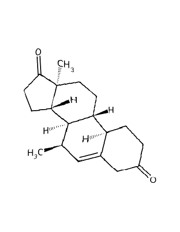 C[C@@H]1C=C2CC(=O)CC[C@@H]2[C@H]2CC[C@]3(C)C(=O)CC[C@H]3[C@@H]21